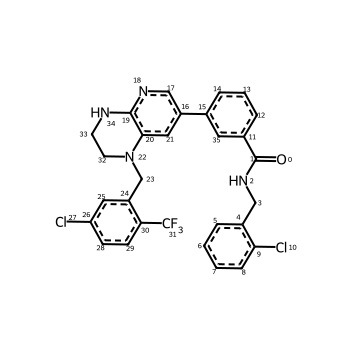 O=C(NCc1ccccc1Cl)c1cccc(-c2cnc3c(c2)N(Cc2cc(Cl)ccc2C(F)(F)F)CCN3)c1